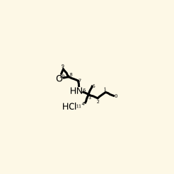 CCCC(C)(C)NCC1CO1.Cl